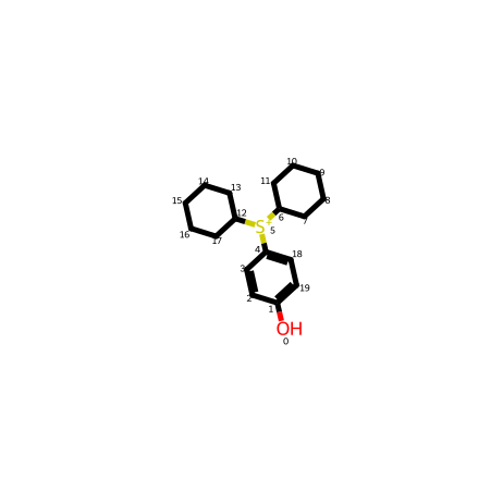 Oc1ccc([S+](C2CCCCC2)C2CCCCC2)cc1